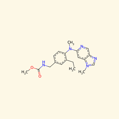 CCc1cc(CNC(=O)OC)ccc1N(C)c1cc2c(cn1)ncn2C